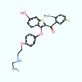 CCNCCOc1ccc(Oc2c(C(=O)c3cc(F)ccc3C)sc3cc(O)ccc23)cc1